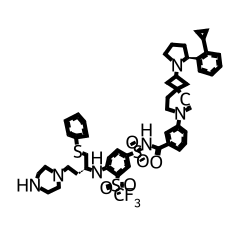 O=C(NS(=O)(=O)c1ccc(N[C@H](CCN2CCNCC2)CSc2ccccc2)c(S(=O)(=O)C(F)(F)F)c1)c1cccc(N2CCC3(CC2)CC(N2CCC[C@H]2c2ccccc2C2CC2)C3)c1